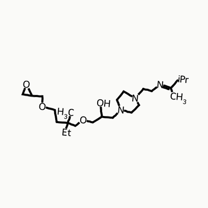 CCC(C)(CCOCC1CO1)COCC(O)CN1CCN(CCN=C(C)C(C)C)CC1